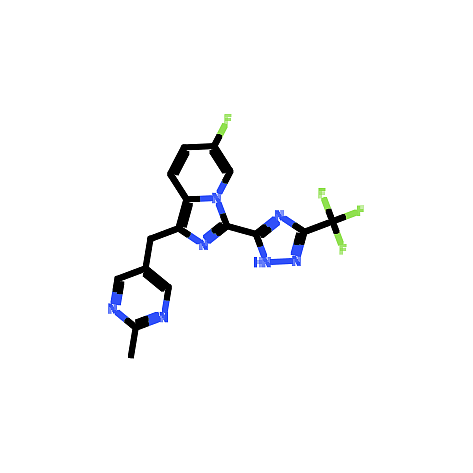 Cc1ncc(Cc2nc(-c3nc(C(F)(F)F)n[nH]3)n3cc(F)ccc23)cn1